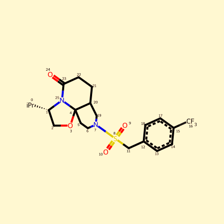 CC(C)[C@H]1COC23CCN(S(=O)(=O)Cc4ccc(C(F)(F)F)cc4)CC2CCC(=O)N13